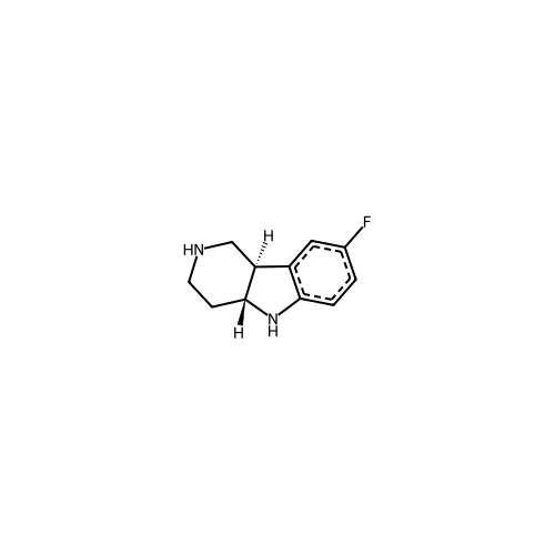 Fc1ccc2c(c1)[C@@H]1CNCC[C@H]1N2